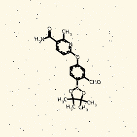 Cc1nc(Oc2ccc(B3OC(C)(C)C(C)(C)O3)c(C=O)c2)ccc1C(N)=O